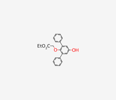 CCOC(=O)COc1c(-c2ccccc2)cc(O)cc1-c1ccccc1